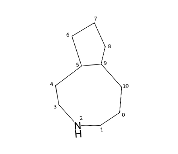 C1CNCCC2CCCC2C1